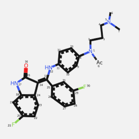 CC(=O)N(CCCN(C)C)c1ccc(N/C(=C2\C(=O)Nc3cc(F)ccc32)c2cccc(F)c2)cc1